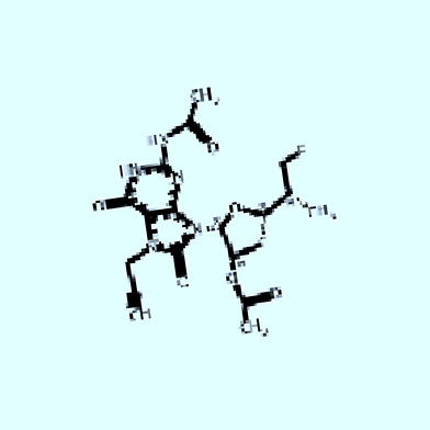 C#CCn1c(=O)n([C@@H]2O[C@H]([C@@H](C)CF)C[C@H]2OC(C)=O)c2nc(NC(C)=O)[nH]c(=O)c21